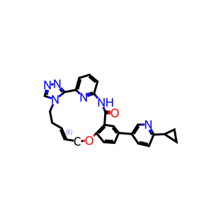 O=C1Nc2cccc(n2)-c2nncn2CC/C=C/COc2ccc(-c3ccc(C4CC4)nc3)cc21